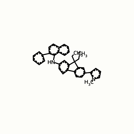 CCC1(CC)c2cc(Nc3c(-c4ccccc4)ccc4ccccc34)ccc2-c2ccc(-c3cccn3C)cc21